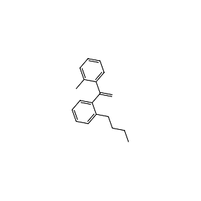 C=C(c1ccccc1C)c1ccccc1CCCC